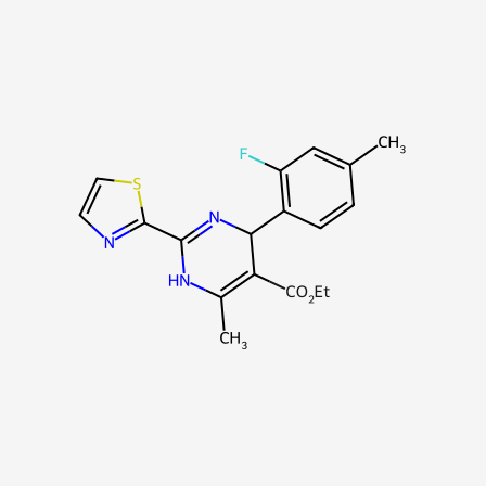 CCOC(=O)C1=C(C)NC(c2nccs2)=NC1c1ccc(C)cc1F